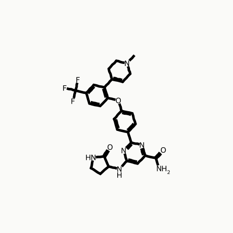 CN1CC=C(c2cc(C(F)(F)F)ccc2Oc2ccc(-c3nc(NC4CCNC4=O)cc(C(N)=O)n3)cc2)CC1